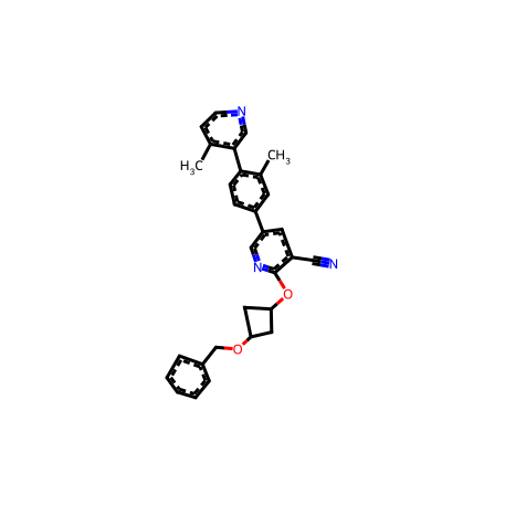 Cc1cc(-c2cnc(OC3CC(OCc4ccccc4)C3)c(C#N)c2)ccc1-c1cnccc1C